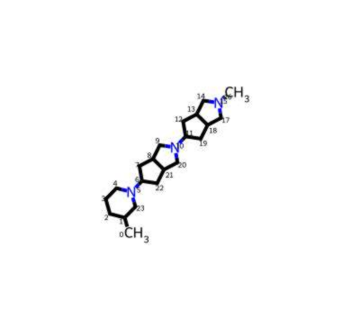 CC1CCCN(C2CC3CN(C4CC5CN(C)CC5C4)CC3C2)C1